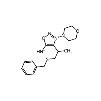 CC(CSCc1ccccc1)c1c([NH-])on[n+]1N1CCOCC1